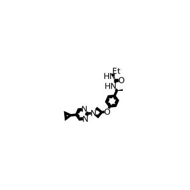 CCNC(=O)N[C@@H](C)c1ccc(OC2CN(c3ncc(C4CC4)cn3)C2)cc1